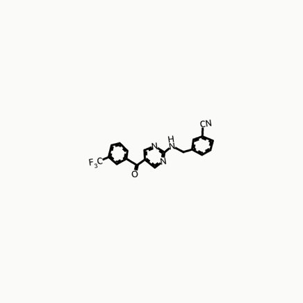 N#Cc1cccc(CNc2ncc(C(=O)c3cccc(C(F)(F)F)c3)cn2)c1